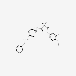 COc1ccc(NC(=O)C2(C(=O)Nc3ccc(S(=O)(=O)NCc4ccccc4)cc3)CC2)cc1C